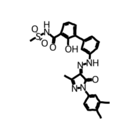 CC1=NN(c2ccc(C)c(C)c2)C(=O)C1=NNc1cccc(-c2cccc(C(=O)NS(C)(=O)=O)c2O)c1